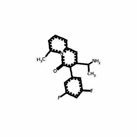 Cc1cccc2cc(C(C)N)c(-c3cc(F)cc(F)c3)c(=O)n12